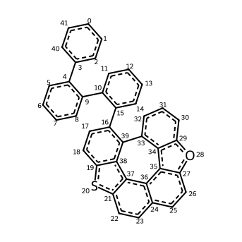 c1ccc(-c2ccccc2-c2ccccc2-c2ccc3sc4ccc5ccc6oc7cccc8c7c6c5c4c3c2-8)cc1